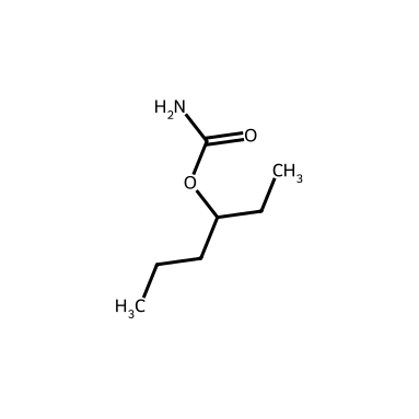 CCCC(CC)OC(N)=O